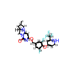 CC1C[C@H]2Cn3c(cc(OCc4cc(F)c(OC5=CCNC(C(F)(F)F)=C5)c(F)c4)nc3=O)N2C1